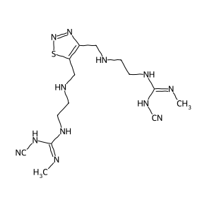 CN=C(NC#N)NCCNCc1nnsc1CNCCNC(=NC)NC#N